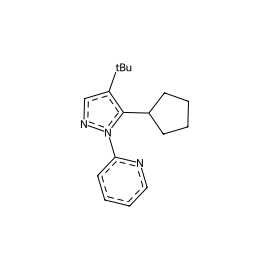 CC(C)(C)c1cnn(-c2ccccn2)c1C1CCCC1